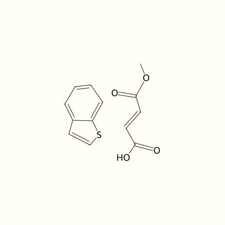 COC(=O)C=CC(=O)O.c1ccc2sccc2c1